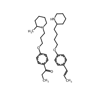 CC=Cc1ccc(OCCCCC2CCCCN2)cc1.CCC(=O)c1ccc(OCCCN2CCCCC2C)cc1